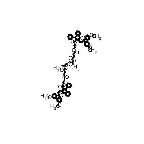 CCC(COCC(CC)OC(=O)CCC(=O)OCCOC(=O)c1c2c(c3ccccc3c1-c1ccccc1)OC(c1ccc(OC)cc1)(c1ccc(OC)cc1)C=C2)OC(=O)CCC(=O)OCCOC(=O)c1c2c(c3ccccc3c1-c1ccccc1)OC(c1ccc(OC)cc1)(c1ccc(OC)cc1)C=C2